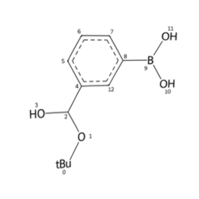 CC(C)(C)OC(O)c1cccc(B(O)O)c1